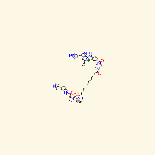 Cc1ncsc1-c1ccc(CNC(=O)[C@@H]2CCCN2C(=O)[C@@H](NC(=O)CCCCCCCCCCCCC(=O)N2CCN(C(=O)c3ccc(Nc4nc(C5CC5)cn5c(-c6cn[nH]c6)cnc45)c(F)c3)CC2)C(C)(C)C)cc1